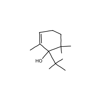 CC1=CCCC(C)(C)C1(O)C(C)(C)C